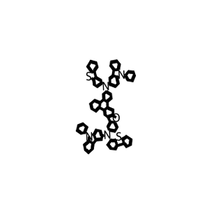 c1ccc(-n2c3ccccc3c3cc(N(c4ccc5sc6ccccc6c5c4)c4ccc5c(c4)c4ccccc4c4cc6c(cc54)oc4ccc(N(c5ccc7c(c5)c5ccccc5n7-c5ccccc5)c5cccc7c5sc5ccccc57)cc46)ccc32)cc1